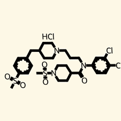 CS(=O)(=O)c1ccc(CC2CCN(CCCN(C(=O)C3CCN(S(C)(=O)=O)CC3)c3ccc(Cl)c(Cl)c3)CC2)cc1.Cl